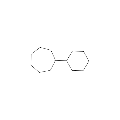 C1CCC[C](C2CCCCC2)CC1